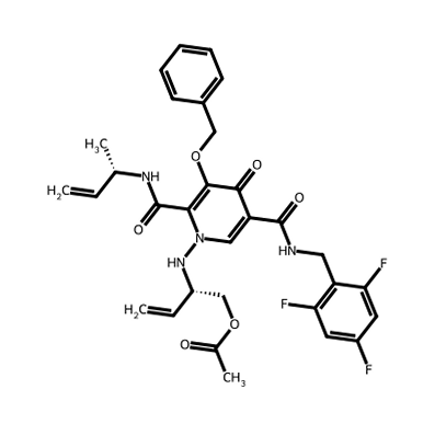 C=C[C@H](C)NC(=O)c1c(OCc2ccccc2)c(=O)c(C(=O)NCc2c(F)cc(F)cc2F)cn1N[C@@H](C=C)COC(C)=O